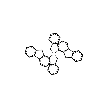 c1ccc([CH2][Zr]([CH2]c2ccccc2)([c]2cccc3c2Cc2ccccc2-3)[c]2cccc3c2Cc2ccccc2-3)cc1